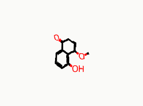 COC1CCC(=O)c2cccc(O)c21